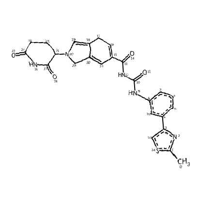 Cc1nc(-c2cccc(NC(=O)NC(=O)C3=CCC4=CN(C5CCC(=O)NC5=O)CC4=C3)c2)cs1